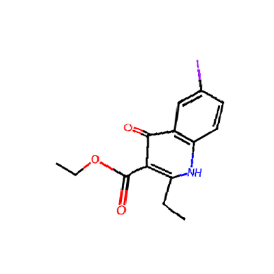 CCOC(=O)c1c(CC)[nH]c2ccc(I)cc2c1=O